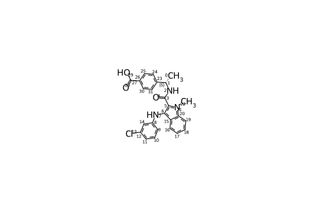 C[C@H](NC(=O)c1c(Nc2cccc(Cl)c2)c2ccccc2n1C)c1ccc(C(=O)O)cc1